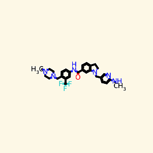 CNc1ccc(CN2CCc3ccc(C(=O)Nc4ccc(CN5CCN(C)CC5)c(C(F)(F)F)c4)cc32)cn1